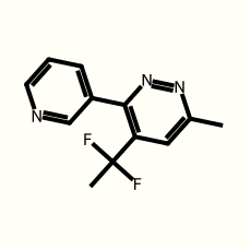 Cc1cc(C(C)(F)F)c(-c2cccnc2)nn1